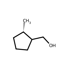 C[C@H]1CCCC1CO